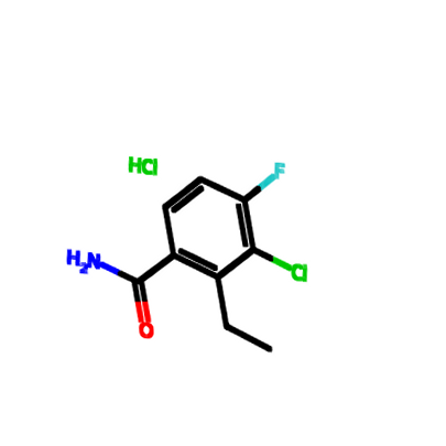 CCc1c(C(N)=O)ccc(F)c1Cl.Cl